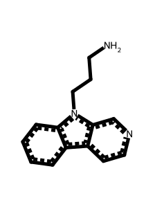 NCCCn1c2ccccc2c2ccncc21